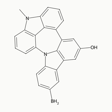 Bc1ccc2c(c1)c1cc(O)cc3c4cccc5c4c4c(cccc4n2c31)n5C